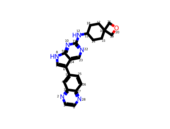 c1cnc2cc(-c3c[nH]c4nc(NC5CCC6(CC5)COC6)ncc34)ccc2n1